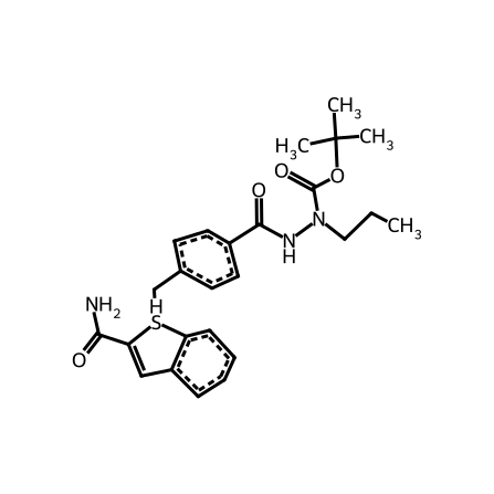 CCCN(NC(=O)c1ccc(C[SH]2C(C(N)=O)=Cc3ccccc32)cc1)C(=O)OC(C)(C)C